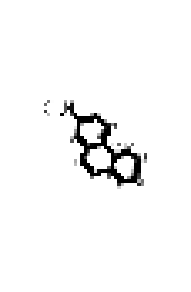 O=[N+]([O-])c1ccc2c(ccc3ccccc32)c1